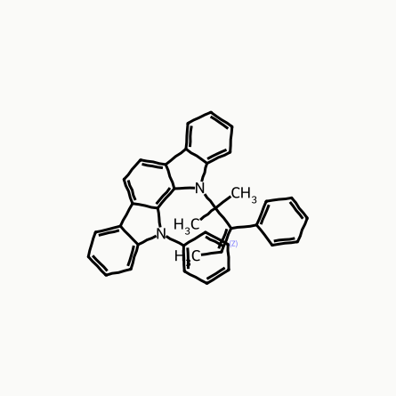 C/C=C(/c1ccccc1)C(C)(C)n1c2ccccc2c2ccc3c4ccccc4n(-c4ccccc4)c3c21